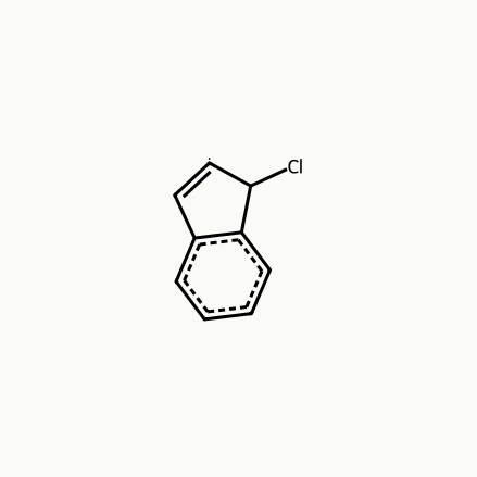 ClC1[C]=Cc2ccccc21